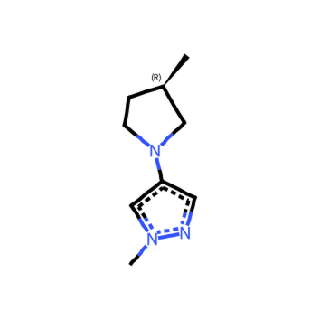 C[C@@H]1CCN(c2cnn(C)c2)C1